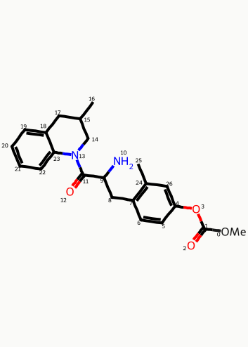 COC(=O)Oc1ccc(CC(N)C(=O)N2CC(C)Cc3ccccc32)c(C)c1